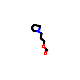 O=[C]OCCCN1CCCC1